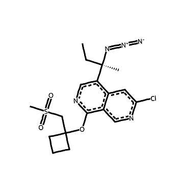 CC[C@@](C)(N=[N+]=[N-])c1cnc(OC2(CS(C)(=O)=O)CCC2)c2cnc(Cl)cc12